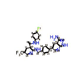 C=C(Nc1ccc(F)cc1)c1cc(C(F)(F)F)cnc1NCc1ccc(-c2cnc3[nH]nc(N)c3c2)cc1